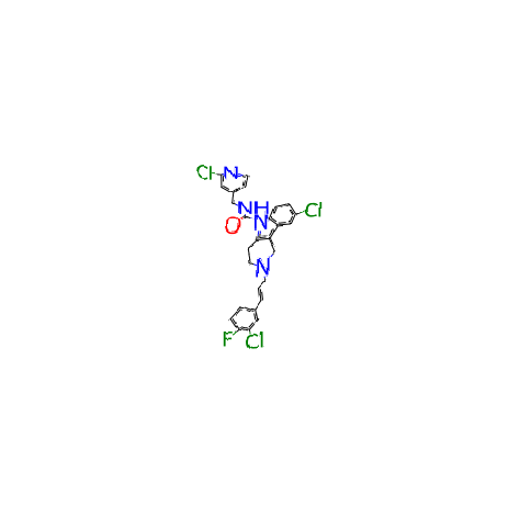 O=C(NCc1ccnc(Cl)c1)n1c2c(c3cc(Cl)ccc31)CN(CC=Cc1ccc(F)c(Cl)c1)CC2